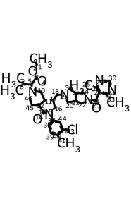 CCOC(=O)C(C(C)C)N1CCC(C(=O)N(CCCN2CC3CN(C(=O)c4c(C)ncnc4C)CC3C2)c2ccc(C)c(Cl)c2)CC1